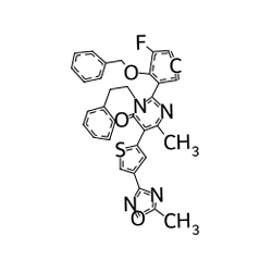 Cc1nc(-c2csc(-c3c(C)nc(-c4cccc(F)c4OCc4ccccc4)n(CCc4ccccc4)c3=O)c2)no1